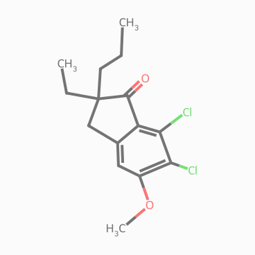 CCCC1(CC)Cc2cc(OC)c(Cl)c(Cl)c2C1=O